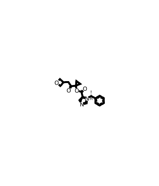 C[C@H](c1ccccc1)n1cncc1C(=O)OC1(C(=O)CC2COC2)CC1